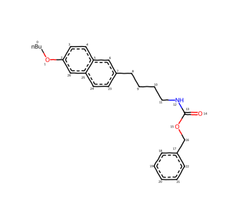 CCCCOc1ccc2cc(CCCCNC(=O)OCc3ccccc3)ccc2c1